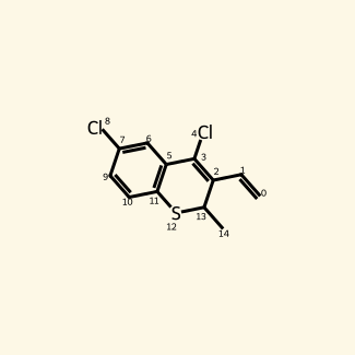 C=CC1=C(Cl)c2cc(Cl)ccc2SC1C